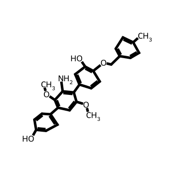 COc1cc(-c2ccc(O)cc2)c(OC)c(N)c1-c1ccc(OCc2ccc(C)cc2)c(O)c1